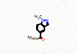 CNC(=O)c1ccc2c(cnn2C)c1